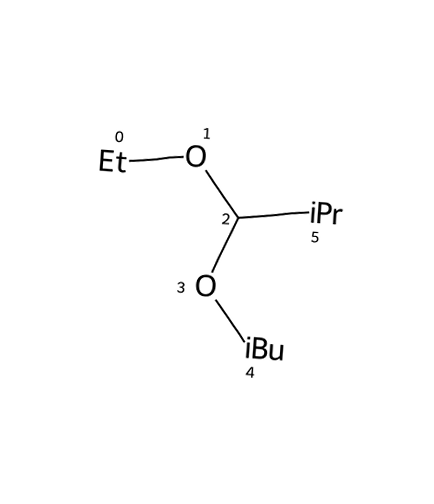 CCOC(OC(C)CC)C(C)C